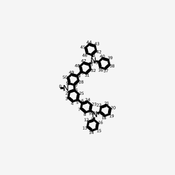 Cn1c2ccc(-c3ccc(N(c4ccccc4)c4ccccc4)cc3)cc2c2cc(-c3ccc(N(c4ccccc4)c4ccccc4)cc3)ccc21